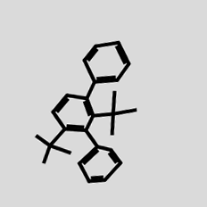 CC(C)(C)c1ccc(-c2ccccc2)c(C(C)(C)C)c1-c1ccccc1